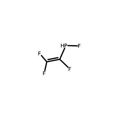 FPC(F)=C(F)F